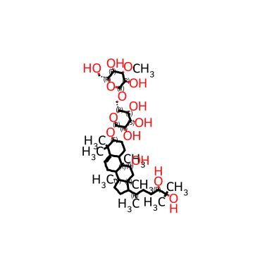 COC1[C@@H](O)[C@H](OC[C@H]2O[C@@H](O[C@H]3CCC4C(=CCC5[C@@]4(C)[C@H](O)C[C@]4(C)C([C@H](C)CC[C@@H](O)C(C)(C)O)CC[C@@]54C)C3(C)C)[C@H](O)[C@@H](O)[C@@H]2O)O[C@H](CO)[C@H]1O